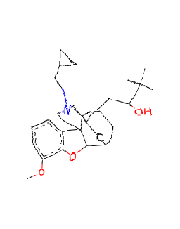 COc1cccc2c1OC1C3CCC4(CN(CC5CC5)CCC214)C(CC(O)C(C)(C)C)C3